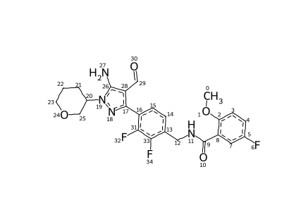 COc1ccc(F)cc1C(=O)NCc1ccc(-c2nn(C3CCCOC3)c(N)c2C=O)c(F)c1F